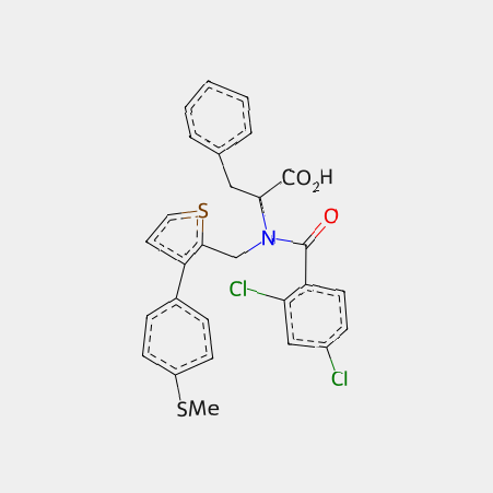 CSc1ccc(-c2ccsc2CN(C(=O)c2ccc(Cl)cc2Cl)C(Cc2ccccc2)C(=O)O)cc1